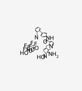 CC1=C(N)C(=NO)CC=C1Cc1ncccc1C(=O)Nc1ccc(-c2ccccc2C#N)cc1.O=C(O)C(F)(F)F.O=C(O)C(F)(F)F